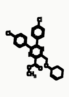 COC(=O)c1nc(-c2ccc(Cl)cc2)c(-c2ccc(Cl)cc2)nc1COC1C=CCCC1